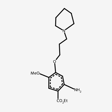 CCOC(=O)c1cc(OC)c(OCCCN2CCCCC2)cc1N